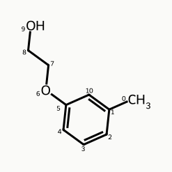 Cc1cccc(OCCO)c1